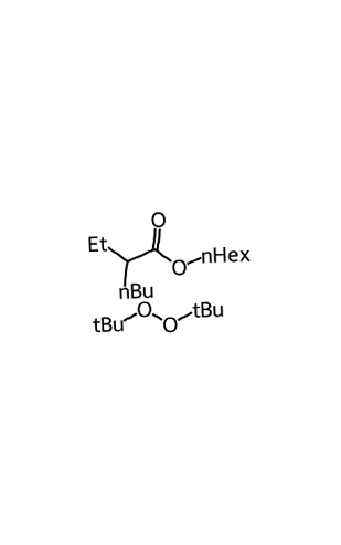 CC(C)(C)OOC(C)(C)C.CCCCCCOC(=O)C(CC)CCCC